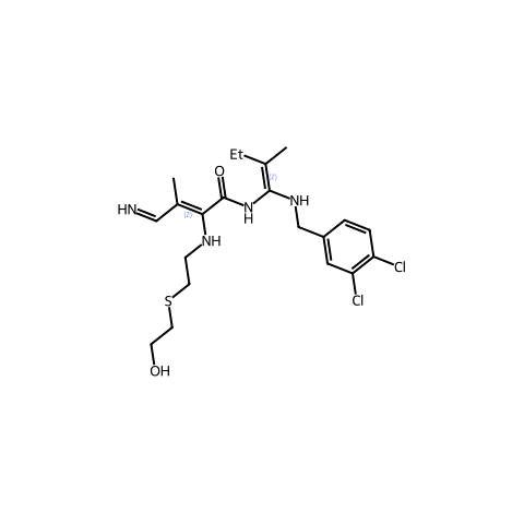 CC/C(C)=C(/NCc1ccc(Cl)c(Cl)c1)NC(=O)/C(NCCSCCO)=C(\C)C=N